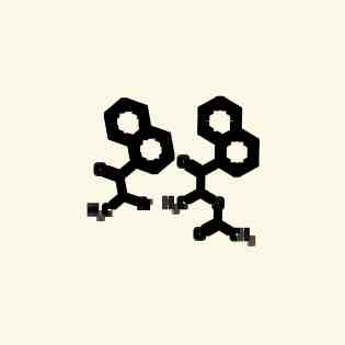 CC(=O)OC(C)C(=O)c1cccc2ccccc12.CC(Br)C(=O)c1cccc2ccccc12